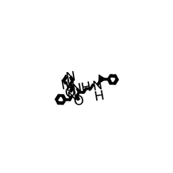 O=C(NC(CCCCNC1CC1c1ccccc1)C(=O)NCc1ccccc1)c1cnccn1